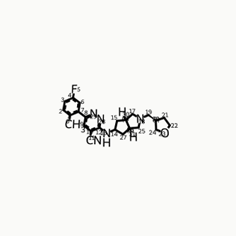 Cc1ccc(F)cc1-c1cc(C#N)c(NC2C[C@@H]3CN(C[C@H]4CCOC4)C[C@@H]3C2)nn1